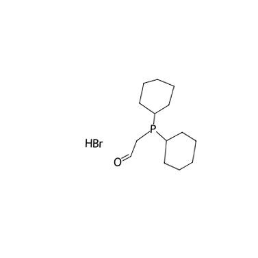 Br.O=CCP(C1CCCCC1)C1CCCCC1